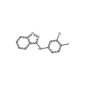 Fc1ccc(Nc2noc3ccccc23)cc1Cl